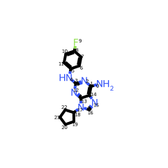 Nc1nc(Nc2ccc(F)cc2)nc2c1ncn2C1CCCC1